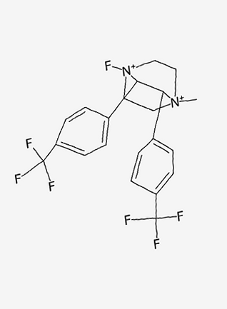 C[N+]12CC[N+](F)(CC1)C(c1ccc(C(F)(F)F)cc1)C2c1ccc(C(F)(F)F)cc1